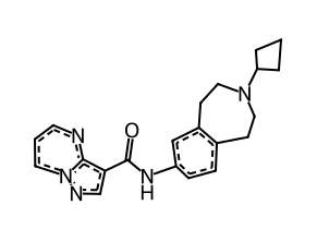 O=C(Nc1ccc2c(c1)CCN(C1CCC1)CC2)c1cnn2cccnc12